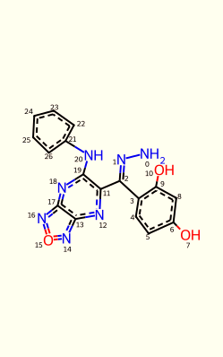 NN=C(c1ccc(O)cc1O)c1nc2nonc2nc1Nc1ccccc1